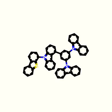 c1ccc2c(c1)sc1c(-n3c4ccccc4c4c(-c5cc(-n6c7ccccc7c7ccccc76)cc(-n6c7ccccc7c7ccccc76)c5)cccc43)cccc12